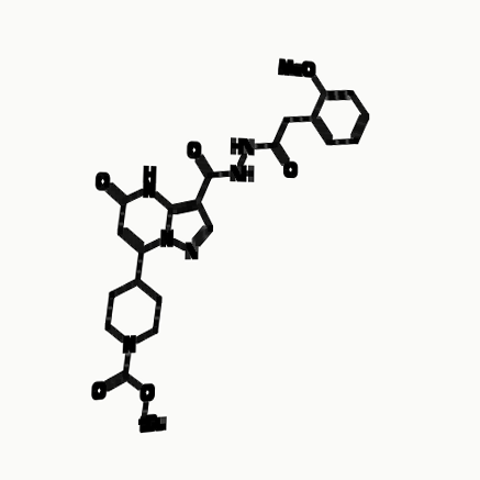 COc1ccccc1CC(=O)NNC(=O)c1cnn2c(C3CCN(C(=O)OC(C)(C)C)CC3)cc(=O)[nH]c12